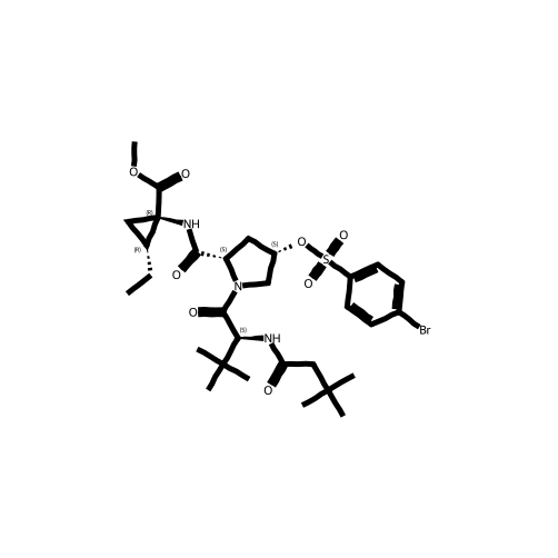 CC[C@@H]1C[C@]1(NC(=O)[C@@H]1C[C@H](OS(=O)(=O)c2ccc(Br)cc2)CN1C(=O)[C@@H](NC(=O)CC(C)(C)C)C(C)(C)C)C(=O)OC